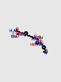 Cc1ncsc1-c1ccc([C@H](C)NC(=O)[C@@H]2C[C@@H](O)CN2C(=O)[C@@H](NC(=O)CCCCCc2cccc(OC[C@H](CCC(N)=O)NC(=O)OC(C)(C)C)c2C)C(C)(C)C)cc1